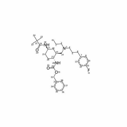 CCCN(CCCc1ccc(F)cc1)C[C@@H]1C[C@H](NC(=O)C(C)(C)C)CC[C@H]1NC(=O)OCc1ccccc1